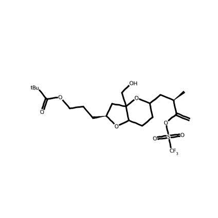 C=C(OS(=O)(=O)C(F)(F)F)[C@H](C)CC1CCC2O[C@@H](CCCOC(=O)C(C)(C)C)CC2(CO)O1